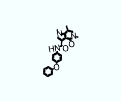 Cc1cn(C)c(=O)c2c(C(=O)Nc3ccc(Oc4ccccc4)cc3)cn(C)c12